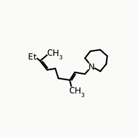 CC/C(C)=C/CC/C(C)=C/CN1CCCCCC1